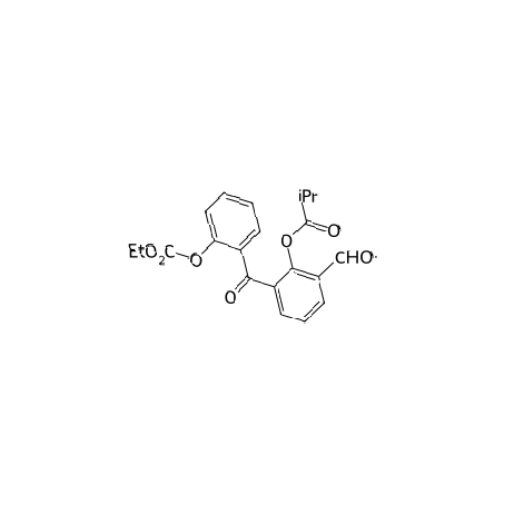 CCOC(=O)Oc1ccccc1C(=O)c1cccc([C]=O)c1OC(=O)C(C)C